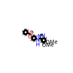 COc1cc2ncnc(Nc3ccc(OC(=O)c4ccccc4)cc3)c2cc1OC